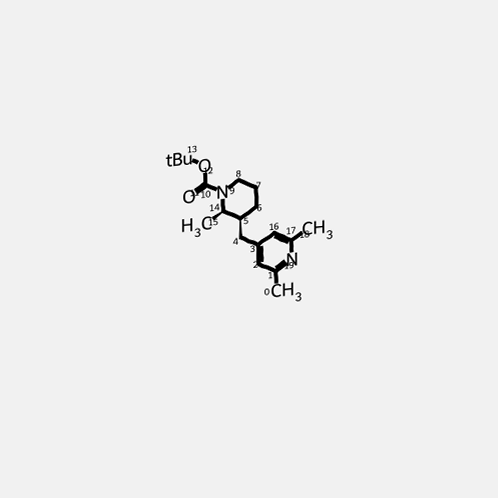 Cc1cc(C[C@@H]2CCCN(C(=O)OC(C)(C)C)[C@@H]2C)cc(C)n1